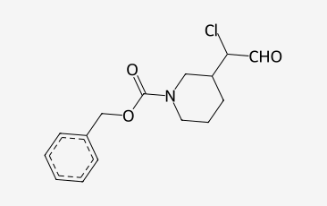 O=CC(Cl)C1CCCN(C(=O)OCc2ccccc2)C1